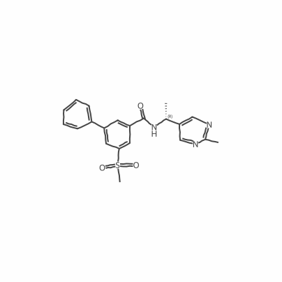 Cc1ncc([C@@H](C)NC(=O)c2cc(-c3ccccc3)cc(S(C)(=O)=O)c2)cn1